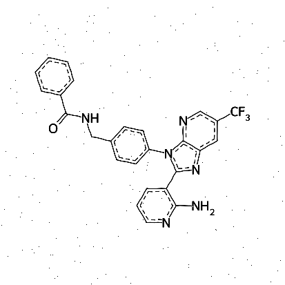 Nc1ncccc1-c1nc2cc(C(F)(F)F)cnc2n1-c1ccc(CNC(=O)c2ccccc2)cc1